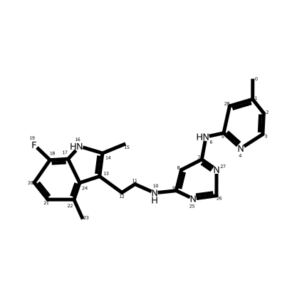 Cc1ccnc(Nc2cc(NCCc3c(C)[nH]c4c(F)ccc(C)c34)ncn2)c1